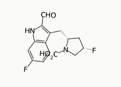 O=Cc1[nH]c2cc(F)ccc2c1C[C@@H]1C[C@H](F)CN1C(=O)O